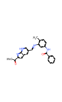 COC(=O)c1cc2cc(/C=N/c3cc(NC(=O)c4ccccc4)ccc3C)c[nH]c-2n1